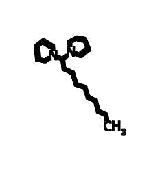 CCCCCCCCCC(N1C=CC=CC1)N1C=CC=CC1